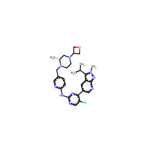 CC(C)c1c2cc(-c3nc(Nc4ccc(CN5CCN(C6COC6)C[C@H]5C)cn4)ncc3F)cnc2nn1C